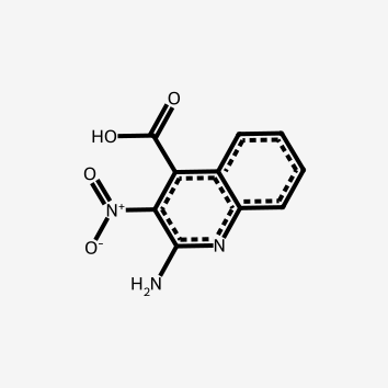 Nc1nc2ccccc2c(C(=O)O)c1[N+](=O)[O-]